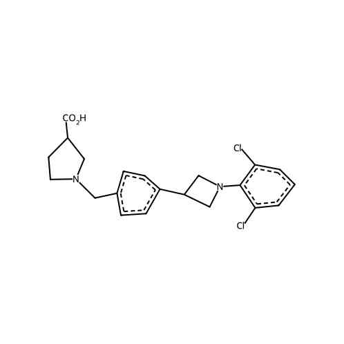 O=C(O)C1CCN(Cc2ccc(C3CN(c4c(Cl)cccc4Cl)C3)cc2)C1